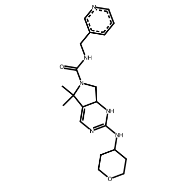 CC1(C)C2=CN=C(NC3CCOCC3)NC2CN1C(=O)NCc1cccnc1